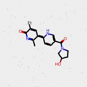 CCC1=CC(=C2C=CC(C(=O)N3CCC(O)C3)=CN2)C(C)=NC1=O